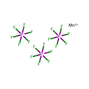 F[P-](F)(F)(F)(F)F.F[P-](F)(F)(F)(F)F.F[P-](F)(F)(F)(F)F.[Mn+3]